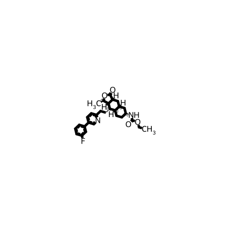 CCOC(=O)N[C@@H]1CC[C@@H]2[C@@H](C1)C[C@H]1C(=O)O[C@H](C)[C@H]1[C@H]2CCc1ccc(-c2cccc(F)c2)cn1